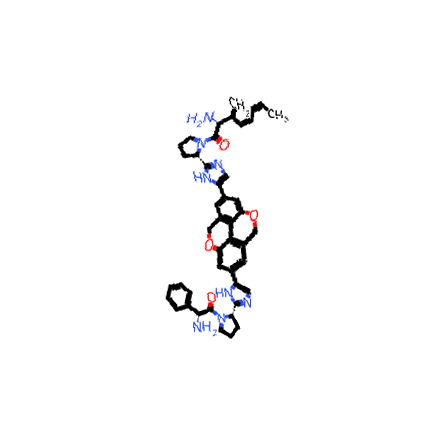 C=C(/C=C\C=C/C)[C@@H](N)C(=O)N1CCC[C@H]1c1ncc(-c2cc3c4c(c2)OCc2cc(-c5cnc([C@@H]6CCCN6C(=O)[C@H](N)c6ccccc6)[nH]5)cc(c2-4)OC3)[nH]1